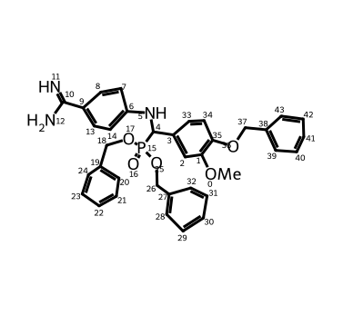 COc1cc(C(Nc2ccc(C(=N)N)cc2)P(=O)(OCc2ccccc2)OCc2ccccc2)ccc1OCc1ccccc1